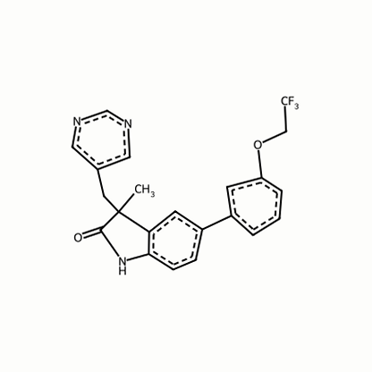 CC1(Cc2cncnc2)C(=O)Nc2ccc(-c3cccc(OCC(F)(F)F)c3)cc21